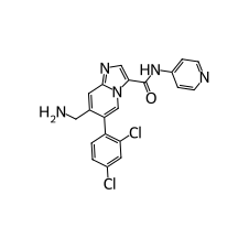 NCc1cc2ncc(C(=O)Nc3ccncc3)n2cc1-c1ccc(Cl)cc1Cl